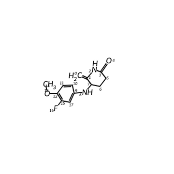 C=C1NC(=O)CCC1Nc1ccc(OC)c(F)c1